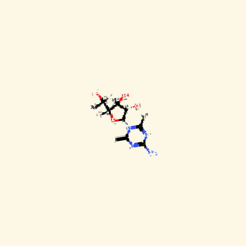 [2H]C1=NC(N)=NC(=C)N1[C@@H]1O[C@]([2H])(C([2H])([2H])O)C([2H])(O)[C@@H]1O